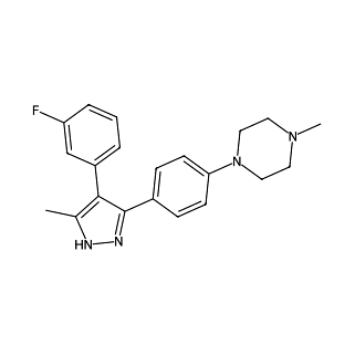 Cc1[nH]nc(-c2ccc(N3CCN(C)CC3)cc2)c1-c1cccc(F)c1